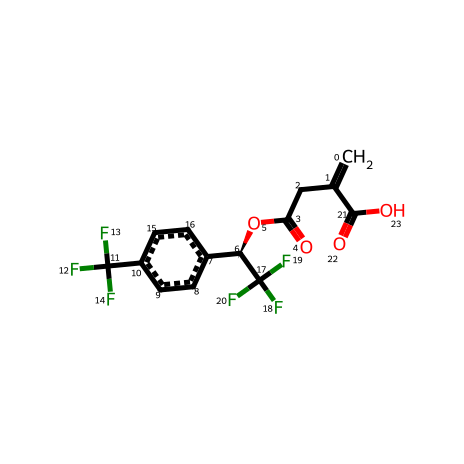 C=C(CC(=O)O[C@H](c1ccc(C(F)(F)F)cc1)C(F)(F)F)C(=O)O